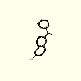 CC(c1ccccc1)c1ccc2cc(O)ccc2c1